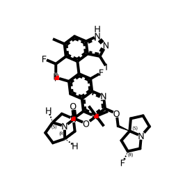 Cc1cc2[nH]nc(I)c2c(-c2c(F)cc3c(N4C[C@H]5CC[C@@H](C4)N5C(=O)OC(C)(C)C)nc(OC[C@@]45CCCN4C[C@H](F)C5)nc3c2F)c1C(F)F